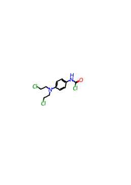 O=C(Cl)Nc1ccc(N(CCCl)CCCl)cc1